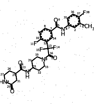 Cc1cc(NC(=O)c2ccc(F)c(C(F)(F)C(=O)N3CCC(NC(=O)C4CCNC(=O)C4)CC3)c2)ccc1F